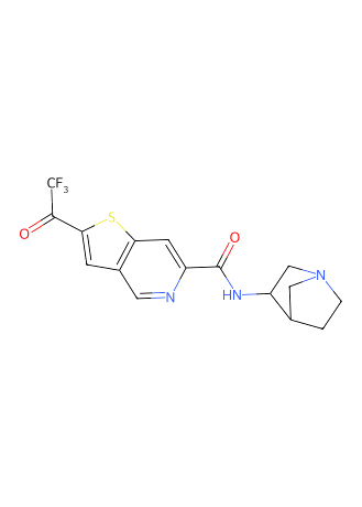 O=C(NC1CN2CCC1C2)c1cc2sc(C(=O)C(F)(F)F)cc2cn1